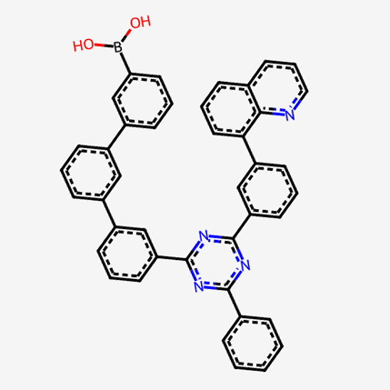 OB(O)c1cccc(-c2cccc(-c3cccc(-c4nc(-c5ccccc5)nc(-c5cccc(-c6cccc7cccnc67)c5)n4)c3)c2)c1